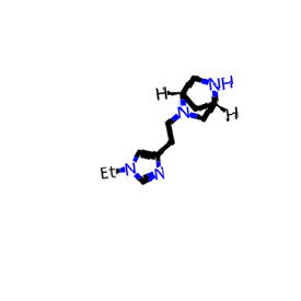 CCn1cnc(CCN2C[C@@H]3C[C@H]2CN3)c1